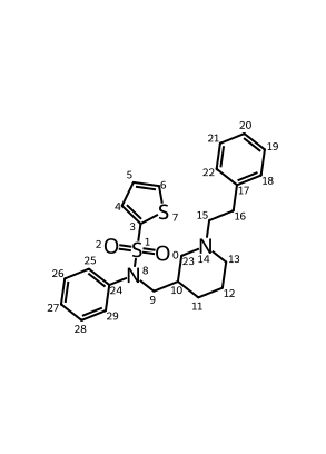 O=S(=O)(c1cccs1)N(CC1CCCN(CCc2ccccc2)C1)c1ccccc1